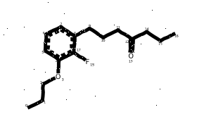 CCCOc1cccc(CCCC(=O)CCC)c1F